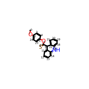 COc1ccc(OC(=S)C2c3ccccc3Nc3ccccc32)cc1